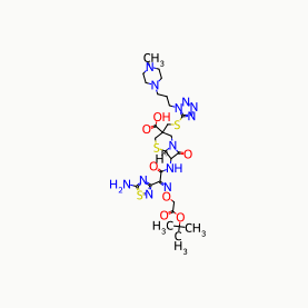 CN1CCN(CCCn2nnnc2SCC2(C(=O)O)CS[C@@H]3C(NC(=O)C(=NOCC(=O)OC(C)(C)C)c4nsc(N)n4)C(=O)N3C2)CC1